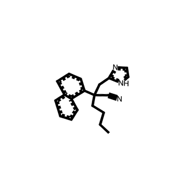 CCCCC(C#N)(Cc1ncc[nH]1)c1cccc2ccccc12